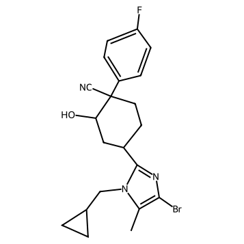 Cc1c(Br)nc(C2CCC(C#N)(c3ccc(F)cc3)C(O)C2)n1CC1CC1